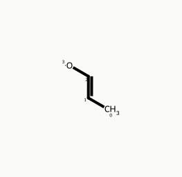 CC=C[O]